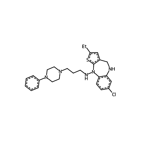 CCc1cc2c(s1)N(NCCCN1CCN(c3ccccc3)CC1)c1ccc(Cl)cc1NC2